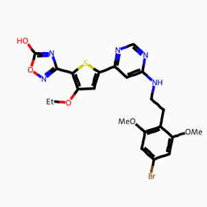 CCOc1cc(-c2cc(NCCc3c(OC)cc(Br)cc3OC)ncn2)sc1-c1noc(O)n1